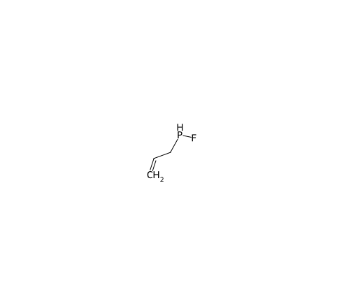 C=CCPF